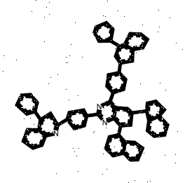 c1ccc(-c2cc(-c3ccc(-c4nc(-c5ccc(-c6cc(-c7ccccc7)c7ccccc7n6)cc5)nc5c(-c6cccc7ccccc67)cc(-c6cccc7ccccc67)cc45)cc3)cc3ccccc23)cc1